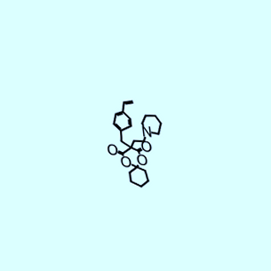 C=Cc1ccc(CC2(CCN3CCCCC3)C(=O)OC3(CCCCC3)OC2=O)cc1